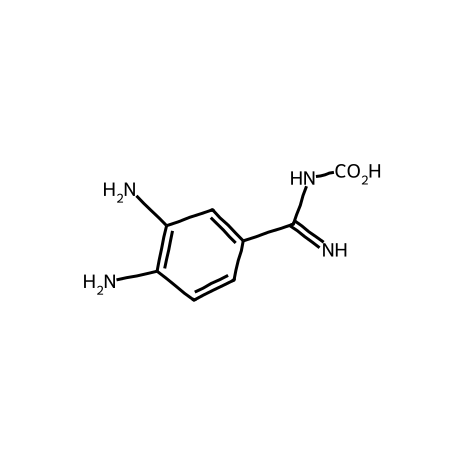 N=C(NC(=O)O)c1ccc(N)c(N)c1